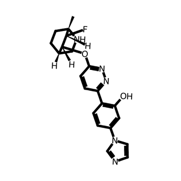 C[C@@]12CC[C@@H](CN1)[C@@H](Oc1ccc(-c3ccc(-n4ccnc4)cc3O)nn1)[C@H]2F